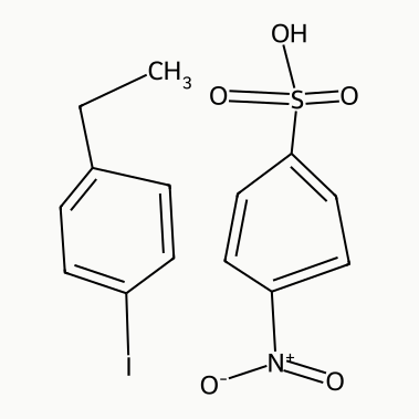 CCc1ccc(I)cc1.O=[N+]([O-])c1ccc(S(=O)(=O)O)cc1